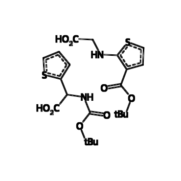 CC(C)(C)OC(=O)NC(C(=O)O)c1cccs1.CC(C)(C)OC(=O)c1ccsc1NCC(=O)O